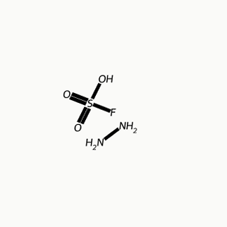 NN.O=S(=O)(O)F